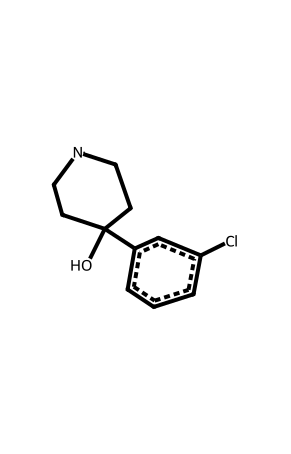 OC1(c2cccc(Cl)c2)CC[N]CC1